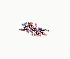 CCCCOC1[C@H](O[C@H]2OC(CO)[C@@H](O[C@@H]3O[C@@H](C(=O)O)[C@@H](O[C@H]4O[C@@H](CO)[C@@H](OCCCC)C[C@@H]4N=[N+]=[N-])C(OCCCC)[C@@H]3OCCCC)[C@H](O)C2N=[N+]=[N-])C(C(=O)O)O[C@@H](O[C@@H]2C(CO)O[C@H](OC)C(N=[N+]=[N-])[C@H]2OCCCC)[C@H]1O